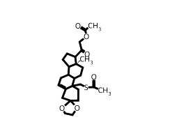 CC(=O)OCC(=O)C1CCC2C3CC=C4CC5(CCC4(CSC(C)=O)C3CC[C@]12C)OCCO5